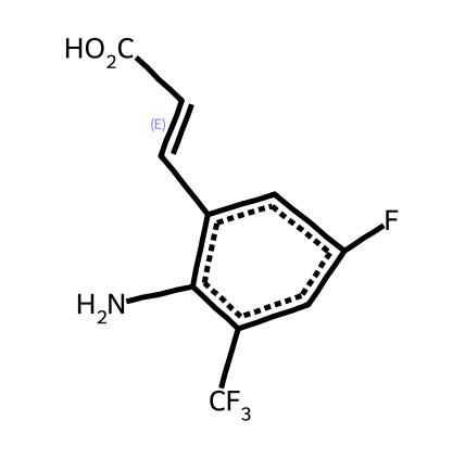 Nc1c(/C=C/C(=O)O)cc(F)cc1C(F)(F)F